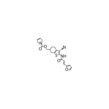 N#Cc1c(NC(=O)C=Cc2ccco2)sc2c1CCC(COC(=O)N1CC=CC1)C2